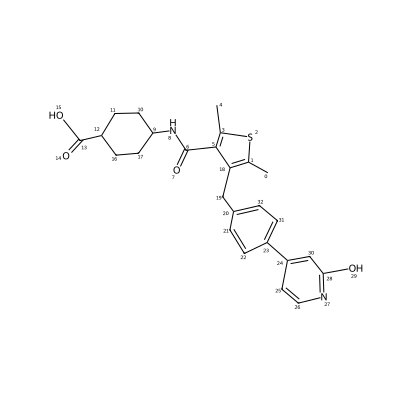 Cc1sc(C)c(C(=O)NC2CCC(C(=O)O)CC2)c1Cc1ccc(-c2ccnc(O)c2)cc1